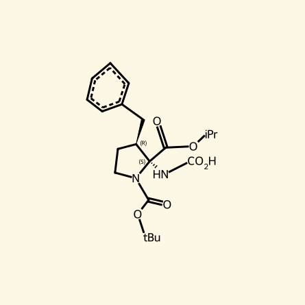 CC(C)OC(=O)[C@]1(NC(=O)O)[C@H](Cc2ccccc2)CCN1C(=O)OC(C)(C)C